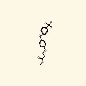 COC(=O)CCOc1ccc(Oc2ccc(C(F)(F)F)cc2)cc1